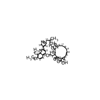 COc1ccc2c(OCCC3NC(=O)N(C)CCCC/C=C\C4CC4(C(=O)O)NC3=O)cc(-c3cnn(CC(C)C)c3)nc2c1C